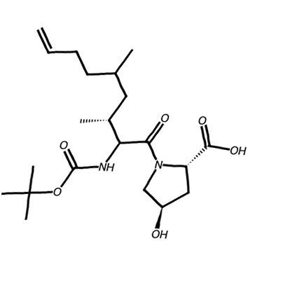 C=CCCC(C)C[C@@H](C)C(NC(=O)OC(C)(C)C)C(=O)N1C[C@H](O)C[C@H]1C(=O)O